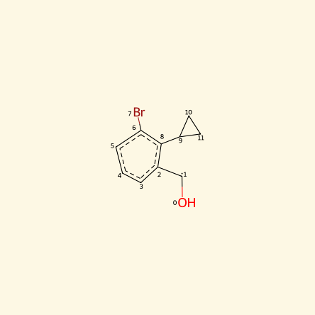 O[CH]c1cccc(Br)c1C1CC1